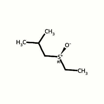 CC[S@+]([O-])CC(C)C